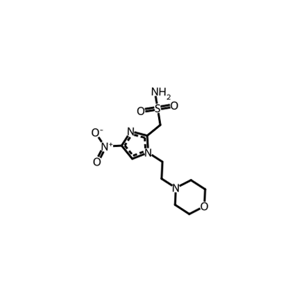 NS(=O)(=O)Cc1nc([N+](=O)[O-])cn1CCN1CCOCC1